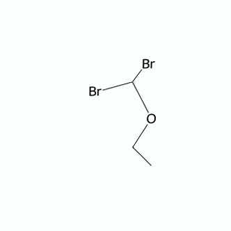 CCOC(Br)Br